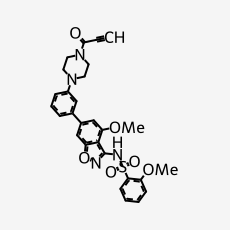 C#CC(=O)N1CCN(c2cccc(-c3cc(OC)c4c(NS(=O)(=O)c5ccccc5OC)noc4c3)c2)CC1